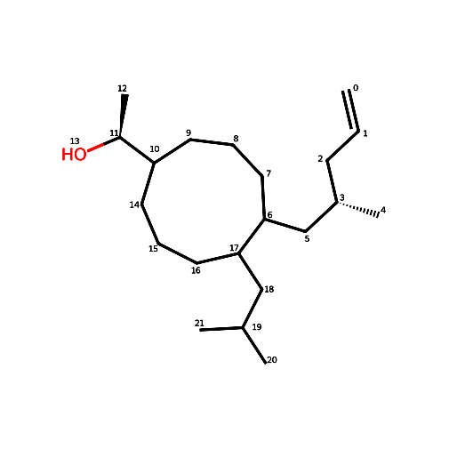 C=CC[C@H](C)CC1CCCC([C@H](C)O)CCCC1CC(C)C